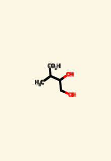 CC(C(=O)O)C(O)CO